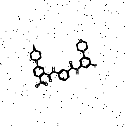 CN1CCN(c2ccc([N+](=O)[O-])c(C(=O)Nc3cccc(C(=O)Nc4cc(F)cc(N5CCOCC5)c4)c3)c2)CC1